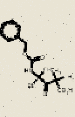 CC[C@](C)(NC(=O)OCc1ccccc1)C(=O)C(C)(C)C(=O)O